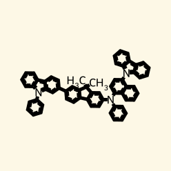 CC1(C)c2cc(-c3ccc4c5ccccc5n(-c5ccccc5)c4c3)ccc2-c2ccc(N(c3ccccc3)c3ccc(-n4c5ccccc5c5ccccc54)c4ccccc34)cc21